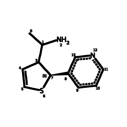 CC(N)C1C=CS[C@@H]1c1cccnc1